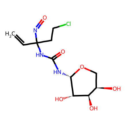 C=CC(CCCl)(N=O)NC(=O)N[C@@H]1OC[C@@H](O)[C@@H](O)[C@@H]1O